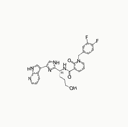 O=C(N[C@H](CCCO)c1nc(-c2c[nH]c3ncccc23)c[nH]1)c1cccn(Cc2ccc(F)c(F)c2)c1=O